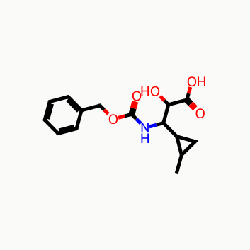 CC1CC1C(NC(=O)OCc1ccccc1)C(O)C(=O)O